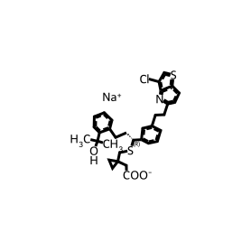 CC(C)(O)c1ccccc1CC[C@@H](SCC1(CC(=O)[O-])CC1)c1cccc(CCc2ccc3scc(Cl)c3n2)c1.[Na+]